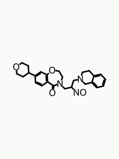 O=NC(CN1CCc2ccccc2C1)CN1CCOc2cc(C3CCOCC3)ccc2C1=O